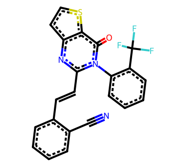 N#Cc1ccccc1C=Cc1nc2ccsc2c(=O)n1-c1ccccc1C(F)(F)F